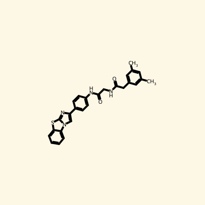 Cc1cc(C)cc(CC(=O)NCC(=O)Nc2ccc(-c3cn4c(n3)sc3ccccc34)cc2)c1